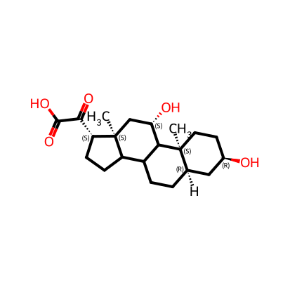 C[C@]12C[C@H](O)C3C(CC[C@@H]4C[C@H](O)CC[C@]34C)C1CC[C@@H]2C(=O)C(=O)O